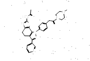 CC(=O)Nc1nc2c(s1)-c1c(c(-c3cccnc3)nn1-c1ccc(CC(=O)N3CCN(C)CC3)cc1)CC2